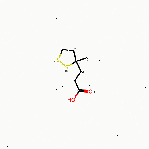 CC1(CCC(=O)O)CCSS1